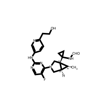 C[C@@H]1[C@H]2CN(c3nc(Nc4ccc(CCO)nc4)ncc3F)C[C@]12C1(NC=O)CC1